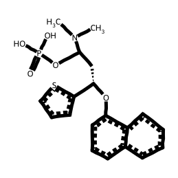 CN(C)C(C[C@H](Oc1cccc2ccccc12)c1cccs1)OP(=O)(O)O